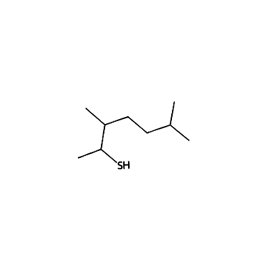 CC(C)CCC(C)C(C)S